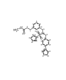 COC(=O)CCc1cccc(CN(Cc2ccc(-n3cccn3)cc2)S(=O)(=O)c2nccs2)c1